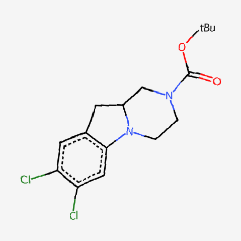 CC(C)(C)OC(=O)N1CCN2c3cc(Cl)c(Cl)cc3CC2C1